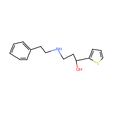 OC(CCNCCc1ccccc1)c1cccs1